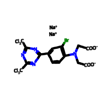 O=C([O-])CN(CC(=O)[O-])c1ccc(-c2nc(C(Cl)(Cl)Cl)nc(C(Cl)(Cl)Cl)n2)cc1Br.[Na+].[Na+]